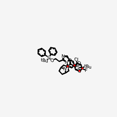 CC(C)(C)CS(=O)(=O)c1cc(N2C3CCC2CN(C(=O)c2ccc(F)cc2Cl)C3)n2c(CCO[Si](c3ccccc3)(c3ccccc3)C(C)(C)C)ncc2c1